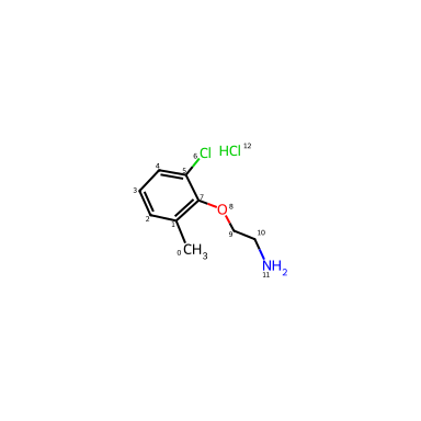 Cc1cccc(Cl)c1OCCN.Cl